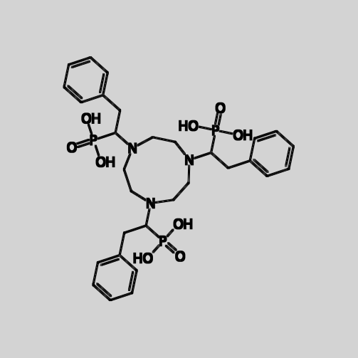 O=P(O)(O)C(Cc1ccccc1)N1CCN(C(Cc2ccccc2)P(=O)(O)O)CCN(C(Cc2ccccc2)P(=O)(O)O)CC1